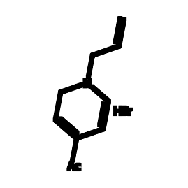 Br.C=CCN1C=CC(C(C)=O)=CC1